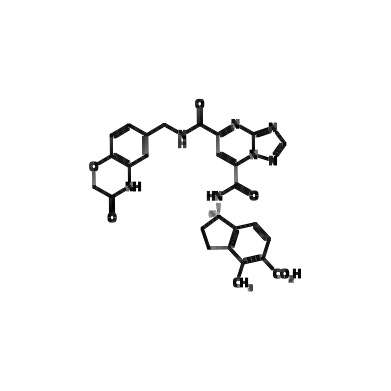 Cc1c(C(=O)O)ccc2c1CC[C@@H]2NC(=O)c1cc(C(=O)NCc2ccc3c(c2)NC(=O)CO3)nc2ncnn12